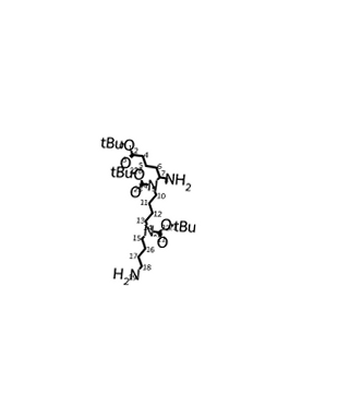 CC(C)(C)OC(=O)CCCC(N)N(CCCCN(CCCCN)C(=O)OC(C)(C)C)C(=O)OC(C)(C)C